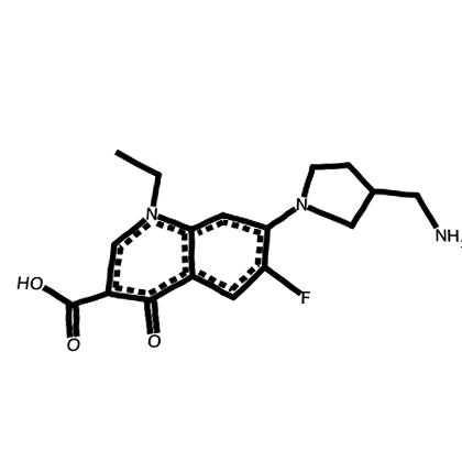 CCn1cc(C(=O)O)c(=O)c2cc(F)c(N3CCC(CN)C3)cc21